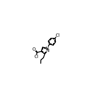 CCCc1nn(-c2ccc(Cl)cc2)cc1C(=O)Cl